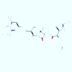 C[n+]1c(N)cc(SCC2=C(C(=O)[O-])N3C(=O)[C@@H](NC(=O)/C(=N\OCC(=O)O)c4csc(N)n4)[C@H]3SC2)nc1N